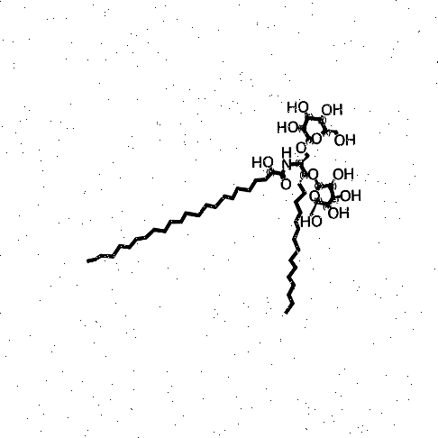 CCCCCCCCCCCCCCCCCCCCCC[C@@H](O)C(=O)N[C@@H](CO[C@H]1O[C@H](CO)[C@H](O)[C@H](O)[C@H]1O)[C@@H](CCCCCCCCCCCCCCC)O[C@@H]1O[C@H](CO)[C@H](O)[C@H](O)[C@H]1O